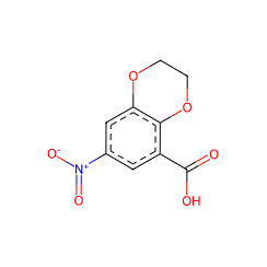 O=C(O)c1cc([N+](=O)[O-])cc2c1OCCO2